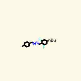 CCCCc1cc(F)c(/C=N/N=C/c2ccc(C)cc2)c(F)c1